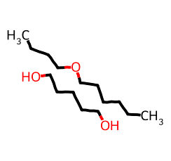 CCCCCCOCCCC.OCCCCCO